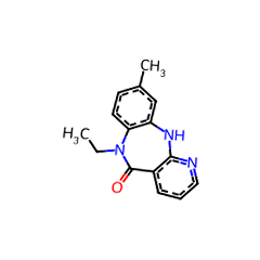 CCN1C(=O)c2cccnc2Nc2cc(C)ccc21